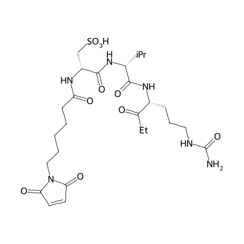 CCC(=O)[C@@H](CCCNC(N)=O)NC(=O)[C@H](NC(=O)[C@@H](CS(=O)(=O)O)NC(=O)CCCCCN1C(=O)C=CC1=O)C(C)C